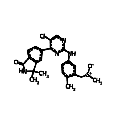 Cc1ccc(Nc2ncc(Cl)c(-c3ccc4c(c3)C(C)(C)NC4=O)n2)cc1C[S+](C)[O-]